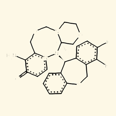 Nc1c2n(ccc1=O)N([C@@H]1c3ccccc3SCc3c1ccc(F)c3F)[C@@H]1COCCN1COC2